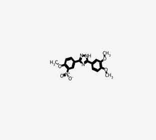 COc1ccc(-c2nc(-c3ccc(OC)c([N+](=O)[O-])c3)n[nH]2)cc1OC